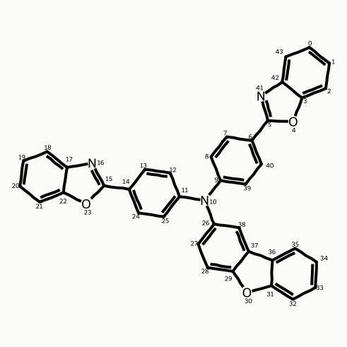 c1ccc2oc(-c3ccc(N(c4ccc(-c5nc6ccccc6o5)cc4)c4ccc5oc6ccccc6c5c4)cc3)nc2c1